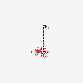 CCCCCCCCCCCCCCCCCCC(CC(=O)O)(NC(=O)CC(C(=O)O)S(=O)(=O)O)C(=O)O